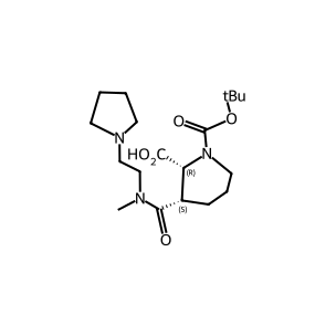 CN(CCN1CCCC1)C(=O)[C@H]1CCCN(C(=O)OC(C)(C)C)[C@H]1C(=O)O